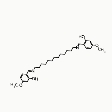 COc1ccc(C=NCCCCCCCCCCCCCN=Cc2ccc(OC)cc2O)c(O)c1